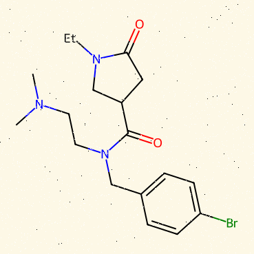 CCN1CC(C(=O)N(CCN(C)C)Cc2ccc(Br)cc2)CC1=O